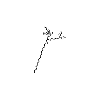 CCCCCCCCCCCCCCCCOCC(COP(=O)(O)OCCC)OCCCCC(OCC)OCC